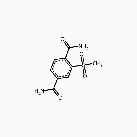 CS(=O)(=O)c1cc(C(N)=O)ccc1C(N)=O